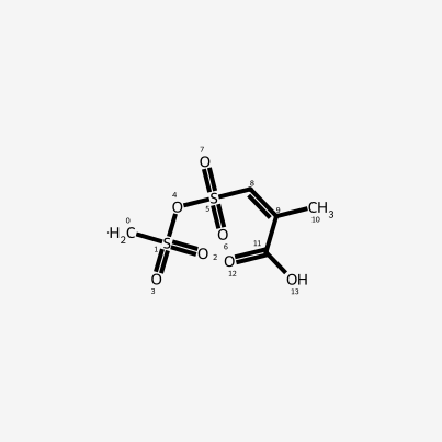 [CH2]S(=O)(=O)OS(=O)(=O)C=C(C)C(=O)O